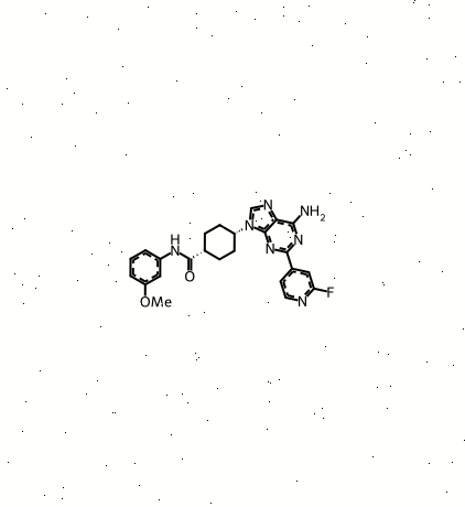 COc1cccc(NC(=O)[C@H]2CC[C@@H](n3cnc4c(N)nc(-c5ccnc(F)c5)nc43)CC2)c1